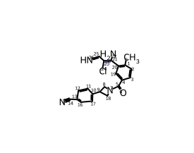 Cc1ccc(C(=O)N2CC(c3ccc(C#N)cc3)C2)cc1/C(N)=C(\Cl)C=N